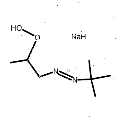 CC(C/N=N/C(C)(C)C)OO.[NaH]